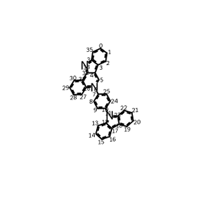 c1ccc2c3cn(-c4ccc(-n5c6ccccc6c6ccccc65)cc4)c4ccccc4c-3nc2c1